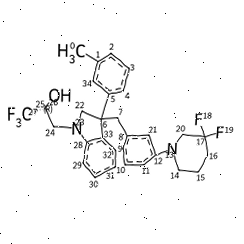 Cc1cccc(C2(Cc3cccc(N4CCCC(F)(F)C4)c3)CN(C[C@@H](O)C(F)(F)F)c3ccccc32)c1